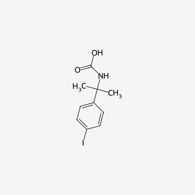 CC(C)(NC(=O)O)c1ccc(I)cc1